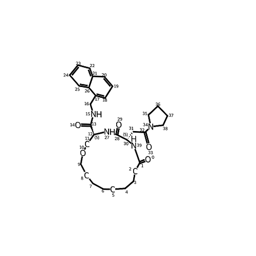 O=C1CCCCCCCCOC[C@@H](C(=O)NCc2cccc3ccccc23)NC(=O)[C@H](CC(=O)N2CCCC2)N1